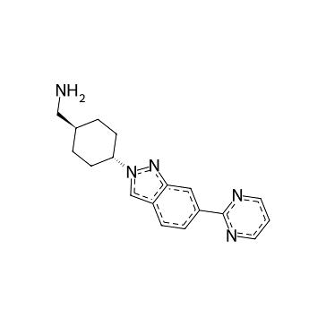 NC[C@H]1CC[C@H](n2cc3ccc(-c4ncccn4)cc3n2)CC1